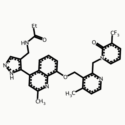 CCC(=O)NCc1cn[nH]c1-c1cc(C)nc2c(OCc3c(C)ccnc3Cn3cccc(C(F)(F)F)c3=O)cccc12